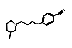 CC1CCCN(CCCOc2ccc(C#N)cc2)C1